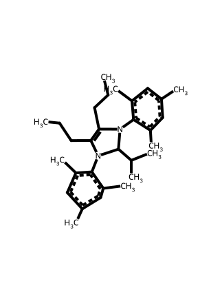 CCCC1=C(CCC)N(c2c(C)cc(C)cc2C)C(C(C)C)N1c1c(C)cc(C)cc1C